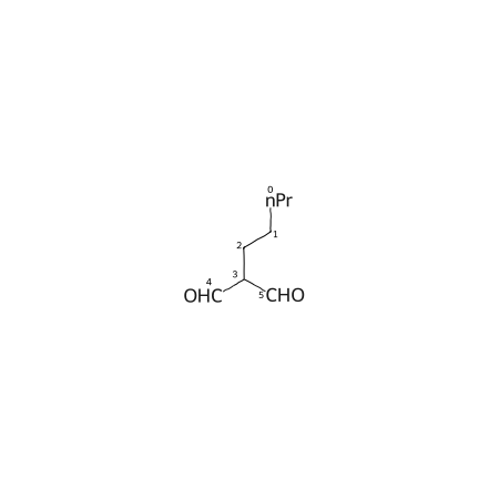 CCCCCC(C=O)C=O